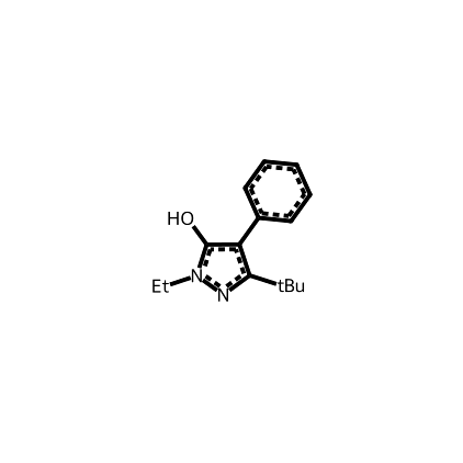 CCn1nc(C(C)(C)C)c(-c2ccccc2)c1O